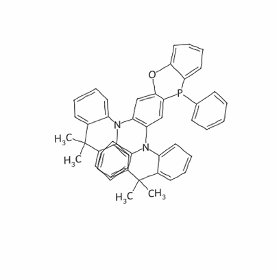 CC1(C)c2ccccc2N(c2cc3c(cc2N2c4ccccc4C(C)(C)c4ccccc42)P(c2ccccc2)c2ccccc2O3)c2ccccc21